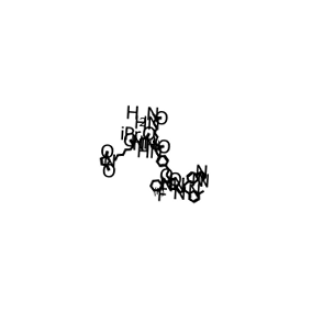 Cc1cccc(-c2nc(CN(C(=O)OCc3ccc(NC(=O)[C@H](CCCNC(N)=O)NC(=O)C(NC(=O)CCCCCN4C(=O)C=CC4=O)C(C)C)cc3)C3CCCC[C@H]3F)[nH]c2-c2ccc3ncnn3c2)n1